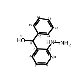 NNc1ncccc1C(O)c1ccccc1